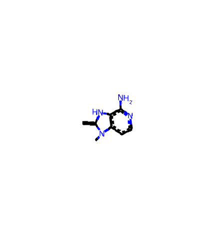 C=C1Nc2c(ccnc2N)N1C